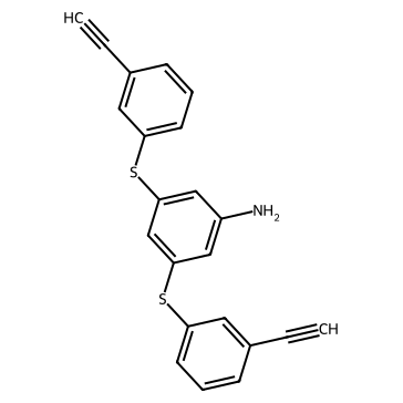 C#Cc1cccc(Sc2cc(N)cc(Sc3cccc(C#C)c3)c2)c1